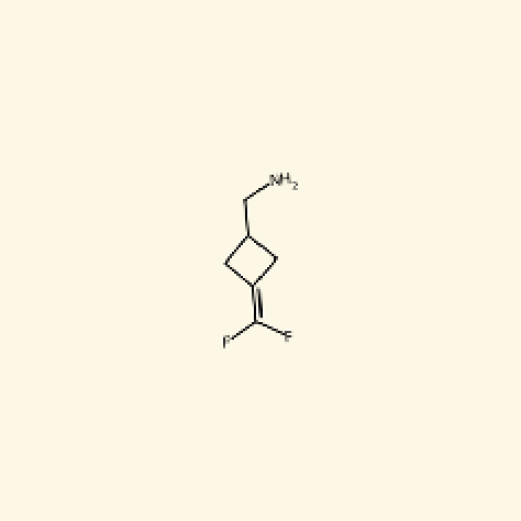 NCC1CC(=C(F)F)C1